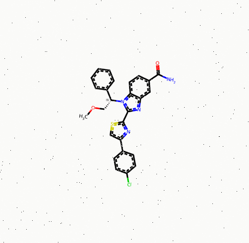 COC[C@H](c1ccccc1)n1c(-c2nc(-c3ccc(Cl)cc3)cs2)nc2cc(C(N)=O)ccc21